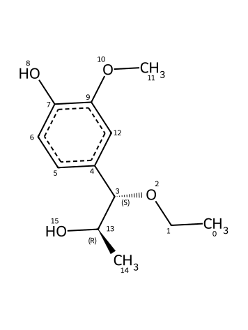 CCO[C@@H](c1ccc(O)c(OC)c1)[C@@H](C)O